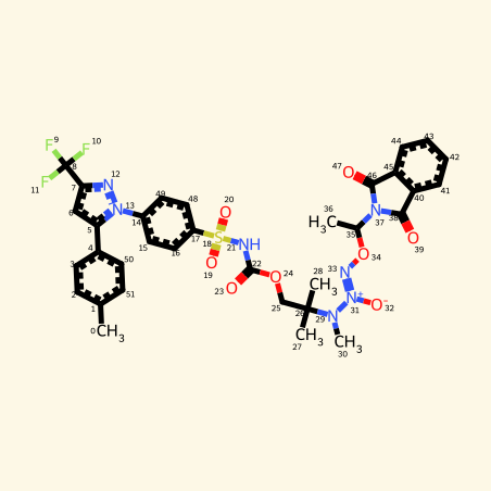 Cc1ccc(-c2cc(C(F)(F)F)nn2-c2ccc(S(=O)(=O)NC(=O)OCC(C)(C)N(C)/[N+]([O-])=N/OC(C)N3C(=O)c4ccccc4C3=O)cc2)cc1